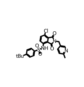 Cc1ccc(CN2C(=O)c3c(Cl)ccc(NS(=O)(=O)c4ccc(C(C)(C)C)cc4)c3C2=O)cn1